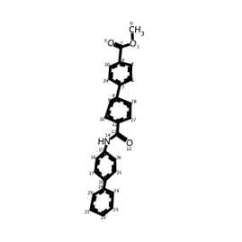 COC(=O)c1ccc(-c2ccc(C(=O)Nc3ccc(-c4ccccc4)cc3)cc2)cc1